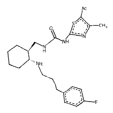 CC(=O)c1sc(NC(=O)NC[C@@H]2CCCC[C@H]2NCCCc2ccc(F)cc2)nc1C